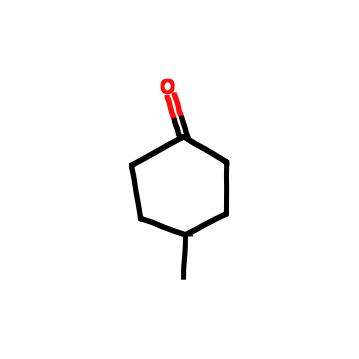 C[C]1CCC(=O)CC1